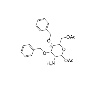 CC(=O)OCC1OC(OC(C)=O)C(N)C(OCc2ccccc2)[C@@H]1OCc1ccccc1